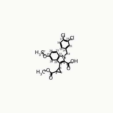 COC(=O)C1CC1c1c(C(=O)O)n(Cc2ccc(Cl)c(Cl)c2)c2ccc(OC)cc12